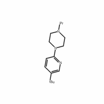 CC(C)N1CCN(c2ccc(C(C)(C)C)cn2)CC1